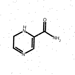 NC(=O)C1=CN=CCN1